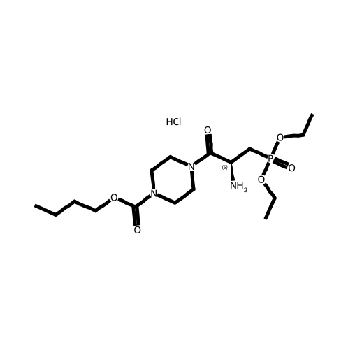 CCCCOC(=O)N1CCN(C(=O)[C@H](N)CP(=O)(OCC)OCC)CC1.Cl